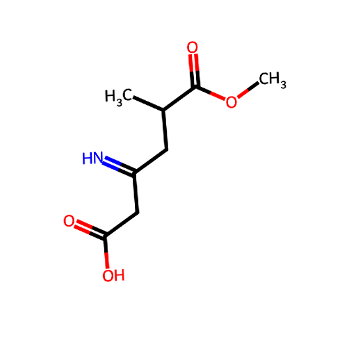 COC(=O)C(C)CC(=N)CC(=O)O